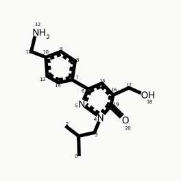 CC(C)Cn1nc(-c2ccc(CN)cc2)cc(CO)c1=O